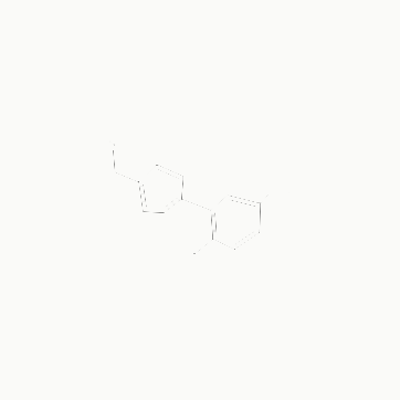 Cc1ccc(I)c(-c2ccc(CN)cc2)c1